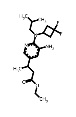 CCOC(=O)CC(C)c1cnc(N(CC(C)C)C2CC(F)(F)C2)c(N)c1